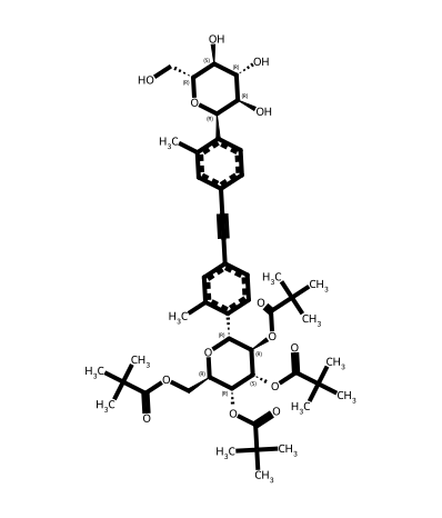 Cc1cc(C#Cc2ccc([C@H]3O[C@H](COC(=O)C(C)(C)C)[C@@H](OC(=O)C(C)(C)C)[C@@H](OC(=O)C(C)(C)C)[C@@H]3OC(=O)C(C)(C)C)c(C)c2)ccc1[C@H]1O[C@H](CO)[C@@H](O)[C@H](O)[C@H]1O